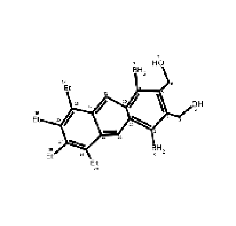 Bc1c(CO)c(CO)c(B)c2cc3c(CC)c(CC)c(CC)c(CC)c3cc12